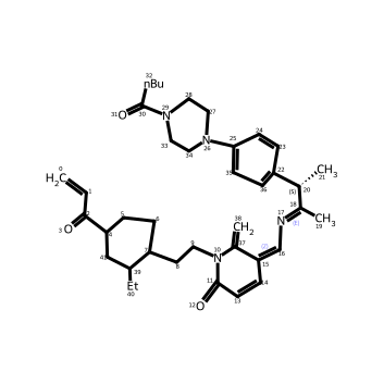 C=CC(=O)C1CCC(CCn2c(=O)cc/c(=C/N=C(\C)[C@@H](C)c3ccc(N4CCN(C(=O)CCCC)CC4)cc3)c2=C)C(CC)C1